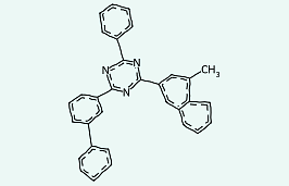 Cc1cc(-c2nc(-c3ccccc3)nc(-c3cccc(-c4ccccc4)c3)n2)cc2ccccc12